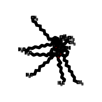 C=C[CH2][Ti](=[O])([CH2]C=C)([O]O)([O]CC(C)(C)C)([S](=O)(=O)c1cccc(CCCCCCCCCC)c1CCCCCCCCCC)([S](=O)(=O)c1cccc(CCCCCCCCCC)c1CCCCCCCCCC)[S](=O)(=O)c1cccc(CCCCCCCCCC)c1CCCCCCCCCC